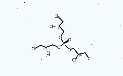 O=P(OC[C@H](Cl)CCl)(OC[C@H](Cl)CCl)OC[C@H](Cl)CCl